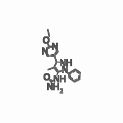 CCOc1ncc(C2NN(c3ccccc3)C(NC(N)=O)=C2C)cn1